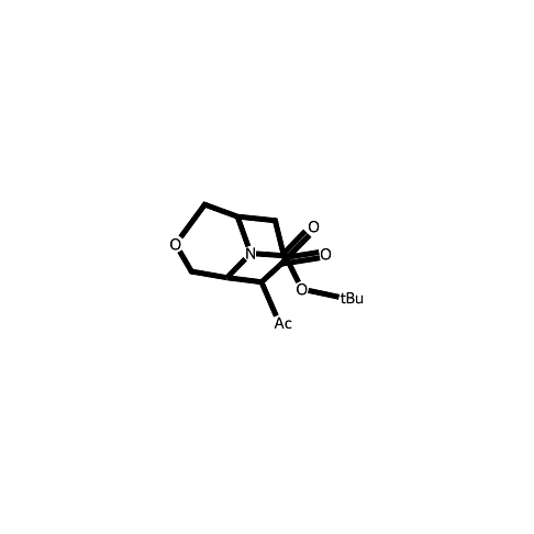 CC(=O)C1C(=O)CC2COCC1N2C(=O)OC(C)(C)C